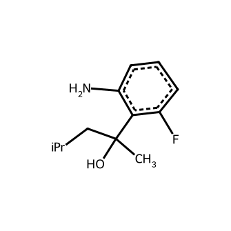 CC(C)CC(C)(O)c1c(N)cccc1F